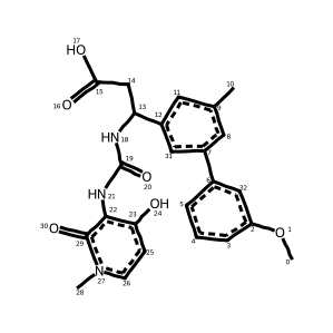 COc1cccc(-c2cc(C)cc(C(CC(=O)O)NC(=O)Nc3c(O)ccn(C)c3=O)c2)c1